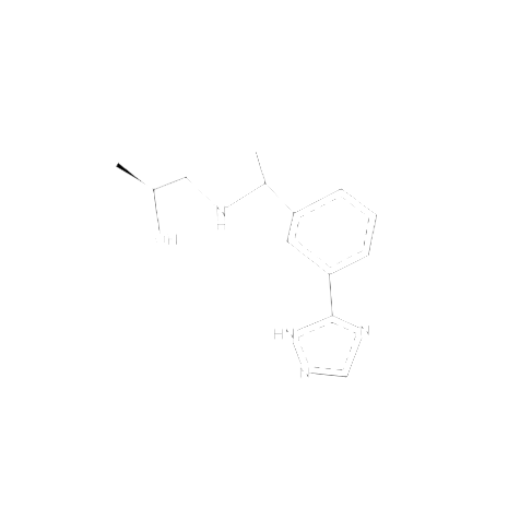 [CH2][C@H](O)CNC(C)c1cccc(-c2ncn[nH]2)c1